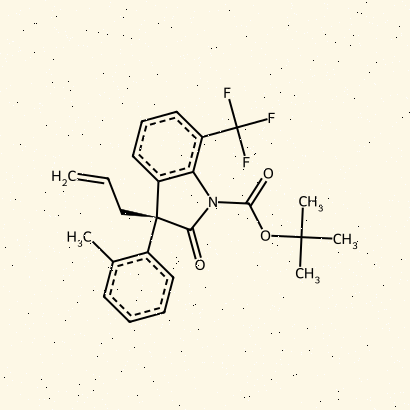 C=CC[C@]1(c2ccccc2C)C(=O)N(C(=O)OC(C)(C)C)c2c(C(F)(F)F)cccc21